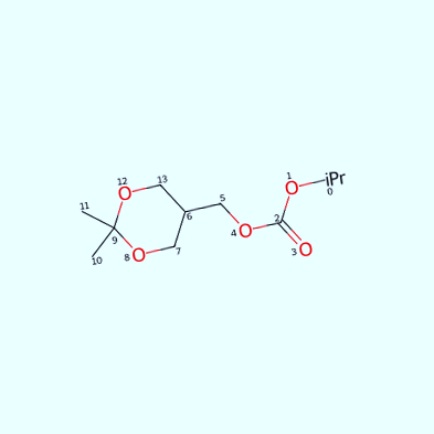 CC(C)OC(=O)OCC1COC(C)(C)OC1